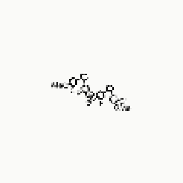 COc1ccc(C2=C(c3ccc(CS(=O)(=O)Cc4ccc(C5=C(c6ccc(OC)c(Cl)c6)CCC5)cc4F)c(F)c3)CCC2)cc1Cl